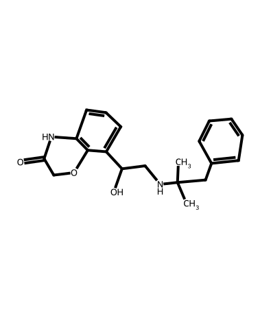 CC(C)(Cc1ccccc1)NCC(O)c1cccc2c1OCC(=O)N2